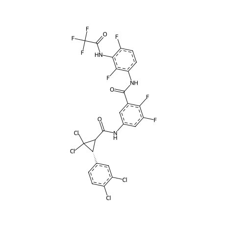 O=C(Nc1ccc(F)c(NC(=O)C(F)(F)F)c1F)c1cc(NC(=O)C2[C@H](c3ccc(Cl)c(Cl)c3)C2(Cl)Cl)cc(F)c1F